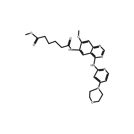 COC(=O)CCCCC(=O)Nc1cc2c(Nc3cc(N4CCOCC4)ccn3)ncnc2cc1OC